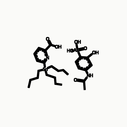 CC(=O)Nc1ccc([As](=O)(O)O)c(O)c1.CCC[CH2][Sn]([CH2]CCC)([CH2]CCC)[c]1cccc(C(=O)O)n1